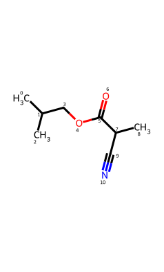 CC(C)COC(=O)C(C)C#N